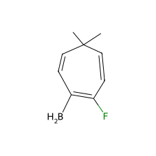 BC1=C(F)C=CC(C)(C)C=C1